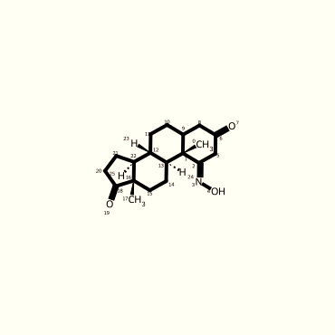 C[C@]12/C(=N/O)CC(=O)CC1CC[C@@H]1[C@@H]2CC[C@]2(C)C(=O)CC[C@@H]12